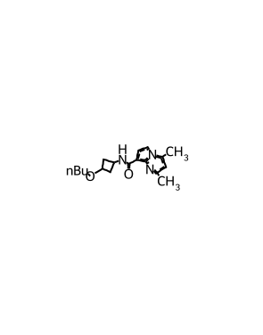 CCCCOC1CC(NC(=O)c2ccn3c(C)cc(C)nc23)C1